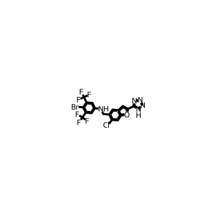 FC(F)(F)c1cc(NCc2cc3cc(-c4nnn[nH]4)oc3cc2Cl)cc(C(F)(F)F)c1Br